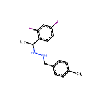 Cc1ccc(CNNC(C)c2ccc(I)cc2I)cc1